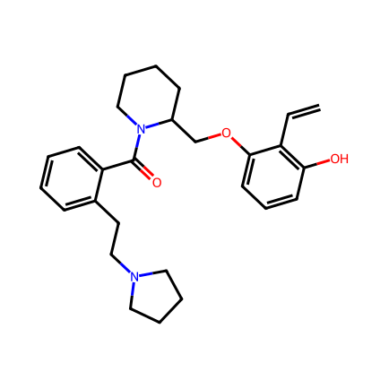 C=Cc1c(O)cccc1OCC1CCCCN1C(=O)c1ccccc1CCN1CCCC1